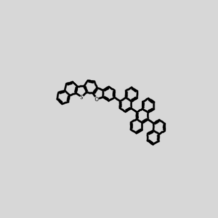 c1ccc2c(-c3c4ccccc4c(-c4ccc(-c5ccc6c(c5)oc5c6ccc6c7ccc8ccccc8c7sc65)c5ccccc45)c4ccccc34)cccc2c1